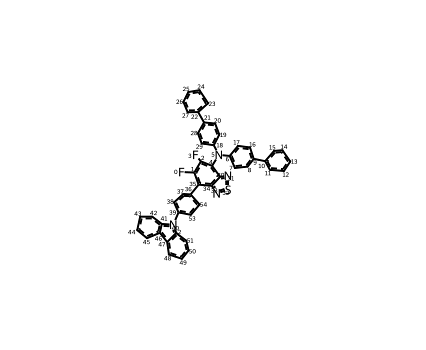 Fc1c(F)c(N(c2ccc(-c3ccccc3)cc2)c2ccc(-c3ccccc3)cc2)c2nsnc2c1-c1ccc(-n2c3ccccc3c3ccccc32)cc1